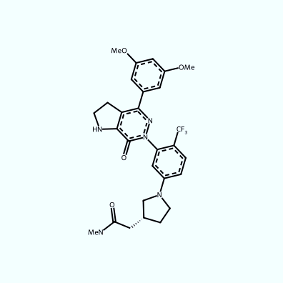 CNC(=O)C[C@H]1CCN(c2ccc(C(F)(F)F)c(-n3nc(-c4cc(OC)cc(OC)c4)c4c(c3=O)NCC4)c2)C1